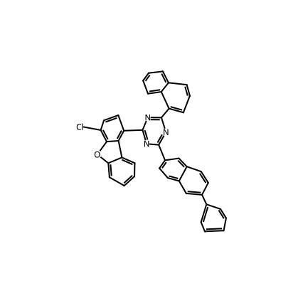 Clc1ccc(-c2nc(-c3ccc4cc(-c5ccccc5)ccc4c3)nc(-c3cccc4ccccc34)n2)c2c1oc1ccccc12